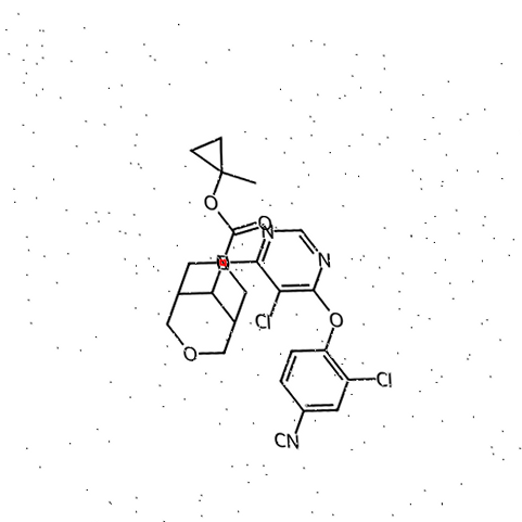 [C-]#[N+]c1ccc(Oc2ncnc(OC3C4COCC3CN(C(=O)OC3(C)CC3)C4)c2Cl)c(Cl)c1